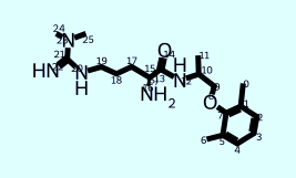 Cc1cccc(C)c1OCC(C)NC(=O)[C@@H](N)CCCNC(=N)N(C)C